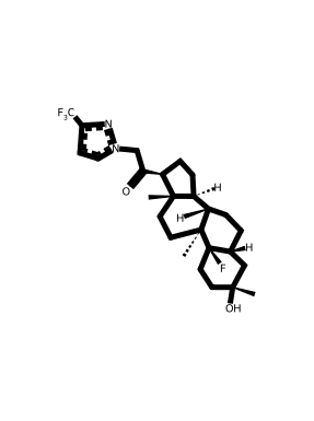 C[C@@]1(O)CC[C@@]2(F)[C@H](CC[C@H]3[C@@H]4CC[C@H](C(=O)Cn5ccc(C(F)(F)F)n5)[C@@]4(C)CC[C@@]32C)C1